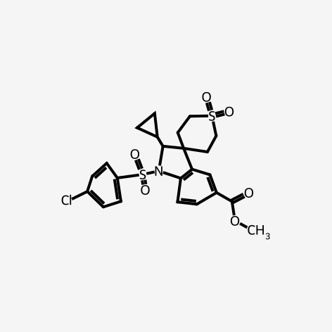 COC(=O)c1ccc2c(c1)C1(CCS(=O)(=O)CC1)C(C1CC1)N2S(=O)(=O)c1ccc(Cl)cc1